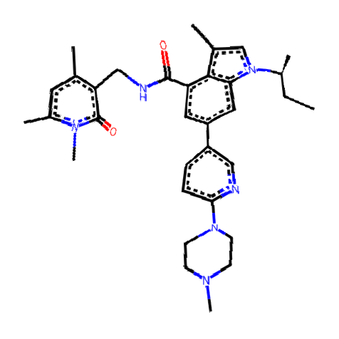 CC[C@H](C)n1cc(C)c2c(C(=O)NCc3c(C)cc(C)n(C)c3=O)cc(-c3ccc(N4CCN(C)CC4)nc3)cc21